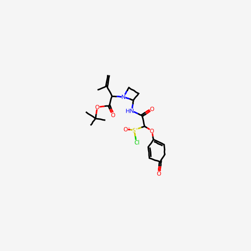 C=C(C)C(C(=O)OC(C)(C)C)N1CCC1NC(=O)C(OC1=CCC(=O)C=C1)[S+]([O-])Cl